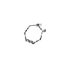 C1=CCNNCC1